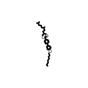 CCCCCCCCOc1ccc(-c2ccc(C3OCC(CCC(C)CCCC(C)C)CO3)cc2)cc1